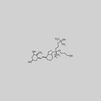 C=C1/C(=C\C=C2/CCC[C@@]3(C)C2CC[C@@H]3[C@](C)(CCCC(C)(C)O)OCCCO)C[C@@H](O)CC1O